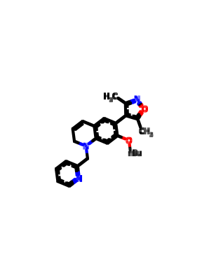 CCCCOc1cc2c(cc1-c1c(C)noc1C)C=CCN2Cc1ccccn1